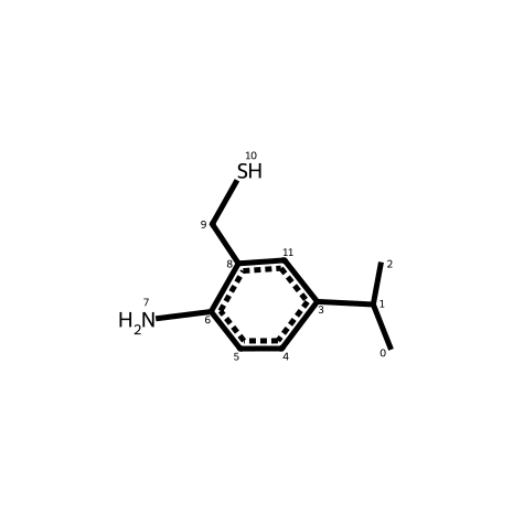 CC(C)c1ccc(N)c(CS)c1